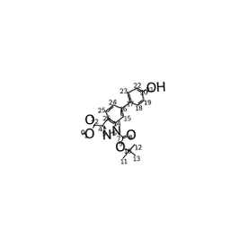 COC(=O)c1nn(C(=O)OC(C)(C)C)c2cc(-c3ccc(O)cc3)ccc12